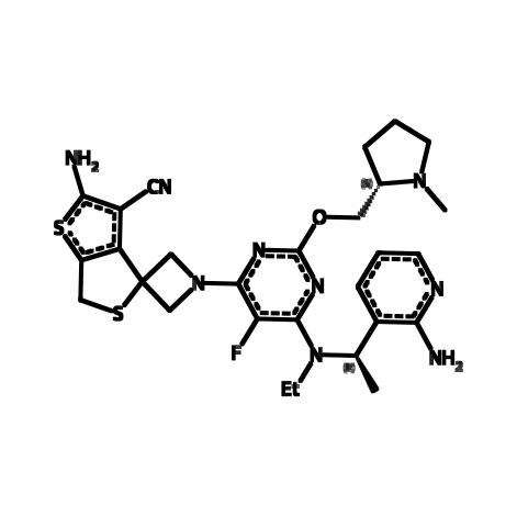 CCN(c1nc(OC[C@@H]2CCCN2C)nc(N2CC3(C2)SCc2sc(N)c(C#N)c23)c1F)[C@H](C)c1cccnc1N